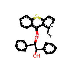 CC(C)c1cccc2sc3ccccc3c(=O)c12.O=C(c1ccccc1)C(O)c1ccccc1